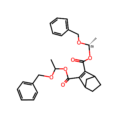 CC(OCc1ccccc1)OC(=O)C1=C(C(=O)O[C@@H](C)OCc2ccccc2)C2CCC1C2